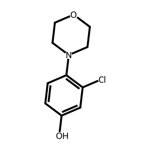 Oc1ccc(N2CCOCC2)c(Cl)c1